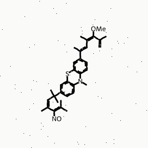 C=C(C)/C(OC)=C(C)\C=C(/C)c1ccc2c(c1)Sc1cc(C(C)(C)/C=C(/C)C(N=O)=C(C)C)ccc1N2C